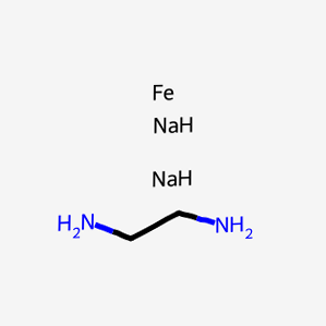 NCCN.[Fe].[NaH].[NaH]